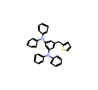 c1ccc(N(c2ccccc2)c2cc(Cc3cccs3)cc(N(c3ccccc3)c3ccccc3)c2)cc1